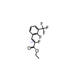 CCOC(=O)/C(F)=C/c1cccc(C(F)(F)F)c1F